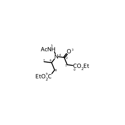 CCOC(=O)CC(=O)N(NC(C)=O)C(C)CC(=O)OCC